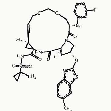 Cc1ccc2nc(O[C@@H]3C[C@H]4C(=O)N[C@]5(C(=O)NS(=O)(=O)C6(C)CC6)C[C@H]5/C=C\CCCCC[C@H](Nc5cccc(F)c5)C(=O)N4C3)sc2c1